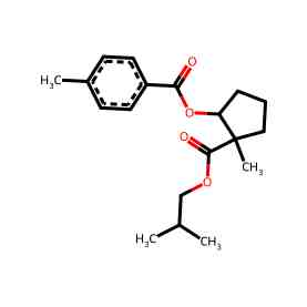 Cc1ccc(C(=O)OC2CCCC2(C)C(=O)OCC(C)C)cc1